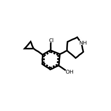 Oc1ccc(C2CC2)c(Cl)c1C1CCNCC1